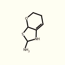 NC1NC2=CCCOC2S1